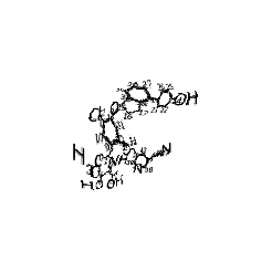 CC(N[C@@H](CO)C(=O)O)c1cc(Cl)c(O[C@H]2CCc3c(-c4ccc(O)cc4)cccc32)cc1OCc1cncc(C#N)c1